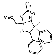 COCC1(OC(=O)C(F)(F)F)NC(c2ccccc2)C(C)(c2ccccc2)N1